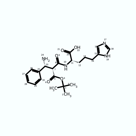 CC(C)(C)OC(=O)[C@@H](C(=O)N[C@@H](CCCc1cnc[nH]1)C(=O)O)[C@@H](N)c1ccccc1